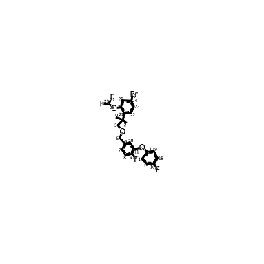 CC(C)(COCc1ccc(F)c(Oc2ccc(F)cc2)c1)c1ccc(Br)cc1OC(F)F